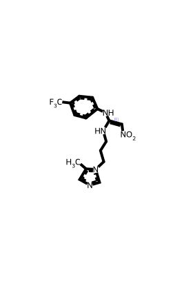 Cc1cncn1CCCN/C(=C\[N+](=O)[O-])Nc1ccc(C(F)(F)F)cc1